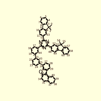 CC1(C)c2ccccc2-c2ccc(-c3nc(-c4cccc(-c5cccc(-c6cccc7c6oc6ccc8ccccc8c67)c5)c4)nc(-c4ccc5c(c4)C(C)(C)c4ccccc4-5)n3)cc21